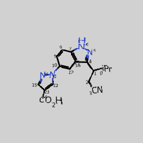 CC(C)C(CC#N)c1n[nH]c2ccc(-n3cc(C(=O)O)cn3)cc12